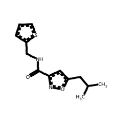 CC(C)Cc1cc(C(=O)NCc2cccs2)no1